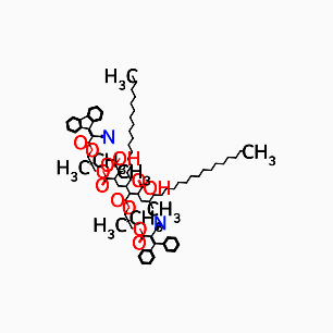 CCCCCCCCCCCCCCCCC(C)CC(C(=O)O)C(C(=O)OCC(C)(C)COC(=O)C(C#N)=C(c1ccccc1)c1ccccc1)C(CCCCCCCCCCCCCCCC)CC(C(=O)OCC(C)(C)COC(=O)C(C#N)=C1c2ccccc2-c2ccccc21)C(C)C(=O)O